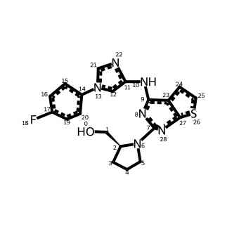 OC[C@@H]1CCCN1c1nc(Nc2cn(-c3ccc(F)cc3)cn2)c2ccsc2n1